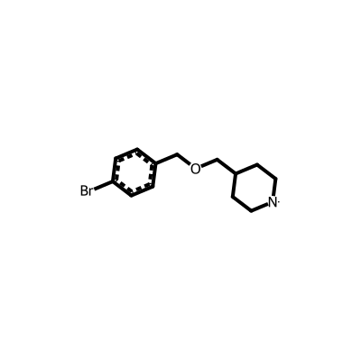 Brc1ccc(COCC2CC[N]CC2)cc1